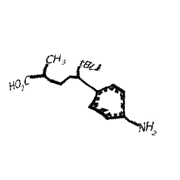 CC(CC(c1ccc(N)cc1)C(C)(C)C)C(=O)O